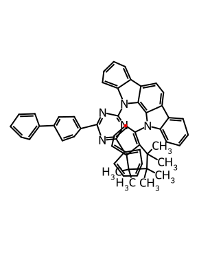 CC1(C)c2cccc(-n3c4ccccc4c4ccc5c6ccccc6n(-c6nc(-c7ccccc7)nc(-c7ccc(-c8ccccc8)cc7)n6)c5c43)c2C(C)(C)C1(C)C